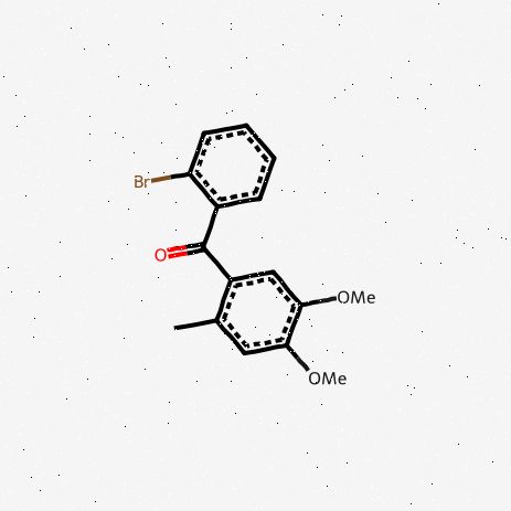 COc1cc(C)c(C(=O)c2ccccc2Br)cc1OC